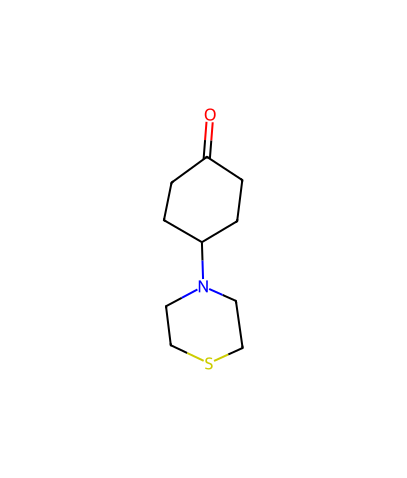 O=C1CCC(N2CCSCC2)CC1